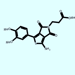 COC(=O)CCN1C(=O)c2c(N)sc(-c3ccc(OC)c(OC)c3)c2C1=O